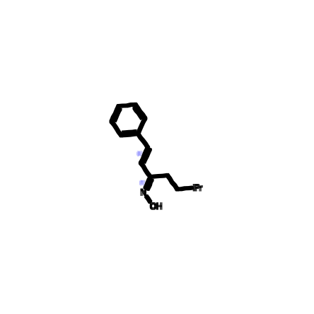 CC(C)CCC(/C=C/c1ccccc1)=N\O